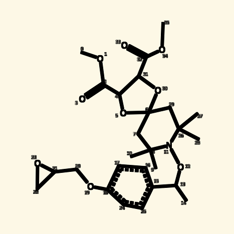 COC(=O)C1OC2(CC(C)(C)N(OC(C)c3ccc(OCC4CO4)cc3)C(C)(C)C2)OC1C(=O)OC